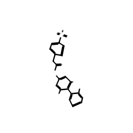 CCc1ccccc1-c1c(F)cc(NC(=O)Cc2ccc(S(=O)(=O)CC)cc2)cc1F